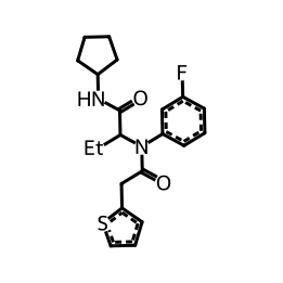 CCC(C(=O)NC1CCCC1)N(C(=O)Cc1cccs1)c1cccc(F)c1